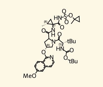 COc1ccc2c(O[C@@H]3CC(C(=O)N[C@]4(C(=O)NS(=O)(=O)OC5(C)CC5)C[C@H]4C)N(C(=O)[C@@H](NC(=O)OC(C)(C)C)C(C)(C)C)C3)nccc2c1